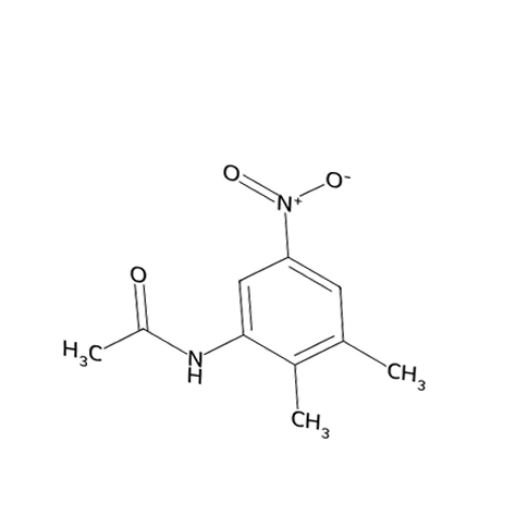 CC(=O)Nc1cc([N+](=O)[O-])cc(C)c1C